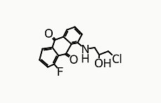 O=C1c2cccc(F)c2C(=O)c2c(NCC(O)CCl)cccc21